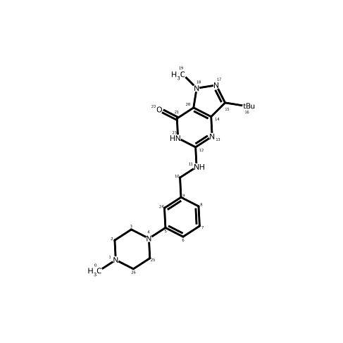 CN1CCN(c2cccc(CNc3nc4c(C(C)(C)C)nn(C)c4c(=O)[nH]3)c2)CC1